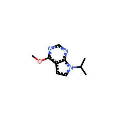 COc1ncnc2c1ccn2C(C)C